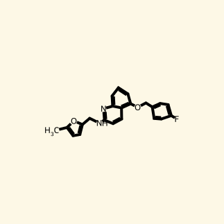 Cc1ccc(CNc2ccc3c(OCc4ccc(F)cc4)cccc3n2)o1